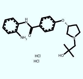 CC(C)(O)CN1CC[C@@H](Oc2ccc(C(=O)Nc3ccccc3N)cc2)C1.Cl.Cl